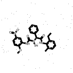 CCc1cccc(C)c1NC(=O)C(c1ccccc1)N(S)C(=O)Nc1cc([N+](=O)[O-])ccc1OC